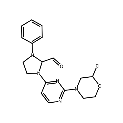 O=CC1N(c2ccccc2)CCN1c1ccnc(N2CCOC(Cl)C2)n1